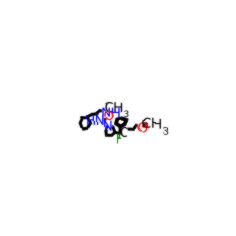 CNCC(CC1CCCCC1)NC(=O)N1CCCC([C@@](F)(CCCCOC)c2ccccc2)C1